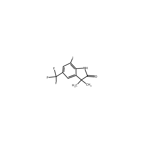 CC1(C)C(=O)Nc2c(I)cc(C(F)(F)F)cc21